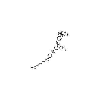 Cc1cc(/N=N/c2ccc(OCCCCCCCO)cc2)ccc1/N=N/c1ccc(S(C)(=O)=O)cc1